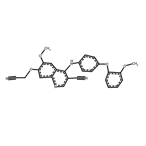 COc1cc2c(Nc3ccc(Oc4ccccc4OC)cc3)c(C#N)cnc2cc1OCC#N